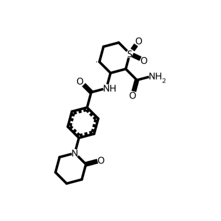 NC(=O)C1C(NC(=O)c2ccc(N3CCCCC3=O)cc2)[CH]CCS1(=O)=O